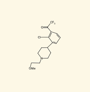 COCCN1CCC(c2cccc(C(=O)C(F)(F)F)c2Cl)CC1